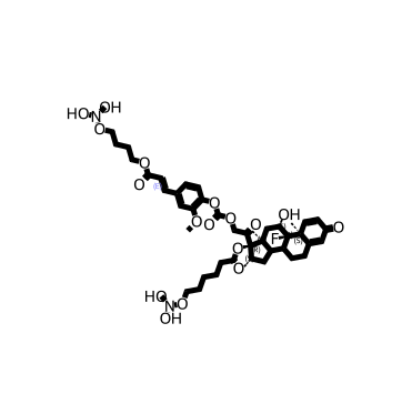 COc1cc(/C=C/C(=O)OCCCCON(O)O)ccc1OC(=O)OCC(=O)[C@@]1(OC(=O)CCCCCON(O)O)[C@@H](C)CC2C3CCC4=CC(=O)C=C[C@]4(C)[C@@]3(F)[C@@H](O)C[C@@]21C